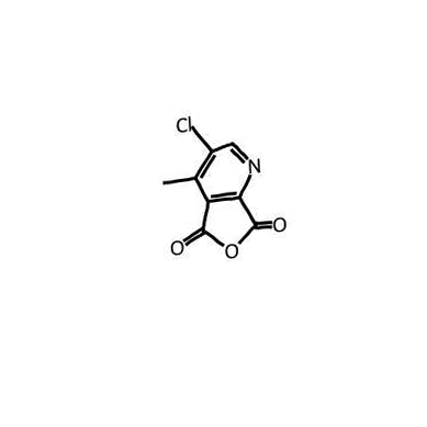 Cc1c(Cl)cnc2c1C(=O)OC2=O